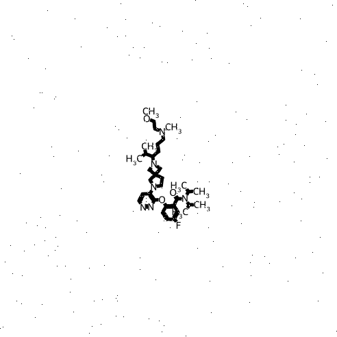 COCCN(C)CCCC(C(C)C)N1CC2(CCN(c3ccnnc3Oc3ccc(F)cc3C(=O)N(C(C)C)C(C)C)C2)C1